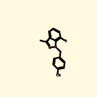 Cc1nn(Cc2ccc(C#N)cc2)c2c(F)cccc12